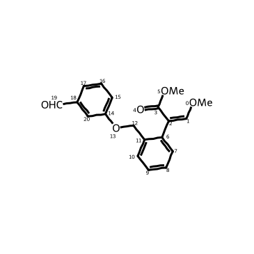 COC=C(C(=O)OC)c1ccccc1COc1cccc(C=O)c1